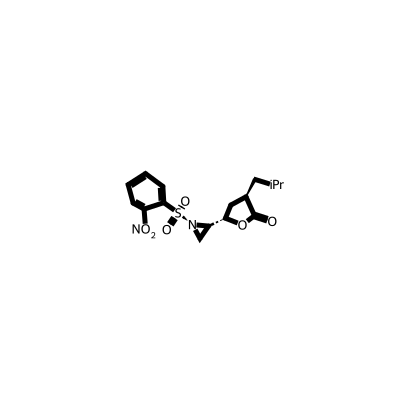 CC(C)C[C@@H]1C[C@@H](C2C[N@]2S(=O)(=O)c2ccccc2[N+](=O)[O-])OC1=O